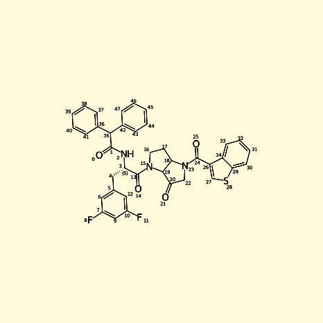 O=C(N[C@@H](Cc1cc(F)cc(F)c1)C(=O)N1CCC2C1C(=O)CN2C(=O)c1csc2ccccc12)C(c1ccccc1)c1ccccc1